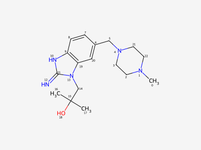 CN1CCN(Cc2ccc3[nH]c(=N)n(CC(C)(C)O)c3c2)CC1